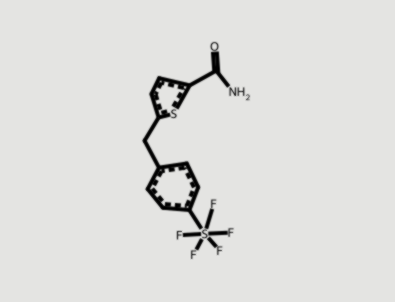 NC(=O)c1ccc(Cc2ccc(S(F)(F)(F)(F)F)cc2)s1